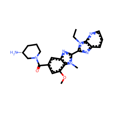 CCn1c(-c2nc3cc(C(=O)N4CCC[C@@H](N)C4)cc(OC)c3n2C)nc2cccnc21